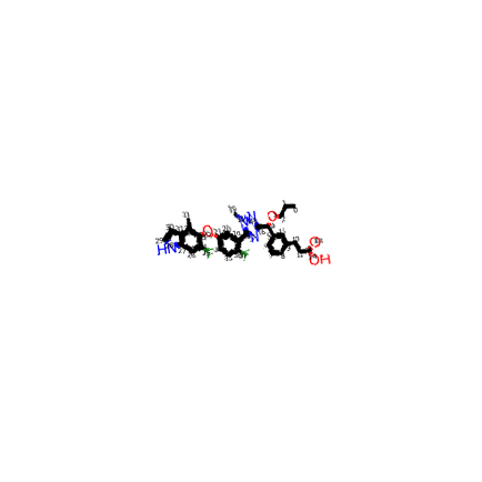 CCCOC(c1cccc(CCC(=O)O)c1)c1nc(-c2cc(Oc3c(F)cc4[nH]ccc4c3C)ccc2F)n(C)n1